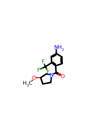 CO[C@@H]1CCN(C(=O)c2ccc(N)cc2C(F)(F)F)C1